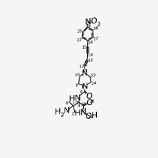 CC(C)(N)[C@H](NC(=O)N1CCN(C#CC#Cc2ccc([N+](=O)[O-])cc2)CC1)C(=O)NO